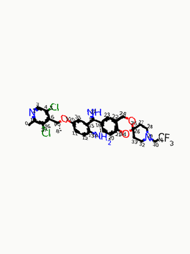 Cc1ncc(Cl)c([C@@H](C)Oc2ccc(N)c(C(=N)c3ccc4c(c3)COC3(CCN(CC(F)(F)F)CC3)O4)c2)c1Cl